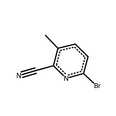 Cc1ccc(Br)nc1C#N